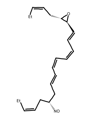 CC/C=C\C[C@H](C/C=C/C=C\C=C/C=C/[C@@H]1O[C@H]1C/C=C\CC)N=O